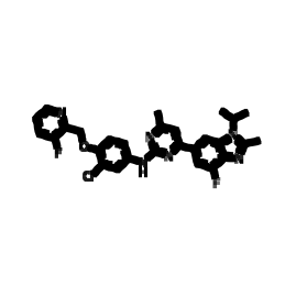 Cc1cc(-c2cc(F)c3nc(C)n(C(C)C)c3c2)nc(Nc2ccc(OCc3ncccc3F)c(Cl)c2)n1